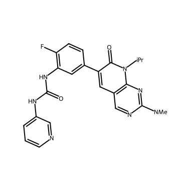 CNc1ncc2cc(-c3ccc(F)c(NC(=O)Nc4cccnc4)c3)c(=O)n(C(C)C)c2n1